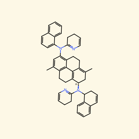 CC1=C2CCc3c(N(C4=NC=CCC4)c4cccc5ccccc45)cc(C)c4c3C2=C(CC4)[C@H](N(C2=NC=CCC2)C2CC=Cc3ccccc32)C1